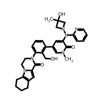 Cn1cc(-c2cccc(N3CCn4c(cc5c4CCCC5)C3=O)c2CO)cc(N(c2ccccn2)N2CC(C)(O)C2)c1=O